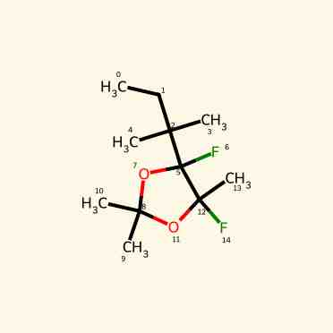 CCC(C)(C)C1(F)OC(C)(C)OC1(C)F